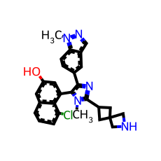 Cn1c(C2CC3(CNC3)C2)nc(-c2ccc3c(cnn3C)c2)c1-c1cc(O)cc2cccc(Cl)c12